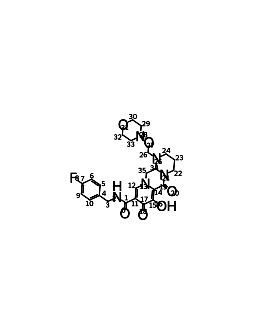 O=C(NCc1ccc(F)cc1)c1cn2c(c(O)c1=O)C(=O)N1CCCN(CON3CCOCC3)C1C2